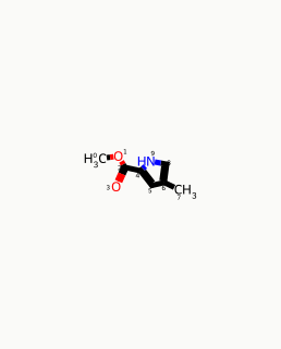 COC(=O)c1[c]c(C)c[nH]1